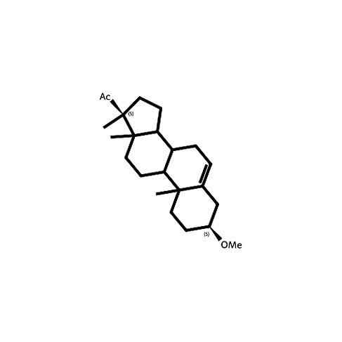 CO[C@H]1CCC2(C)C(=CCC3C2CCC2(C)C3CC[C@]2(C)C(C)=O)C1